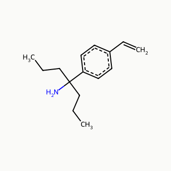 C=Cc1ccc(C(N)(CCC)CCC)cc1